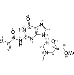 C=C(CC)C(=O)Nc1nc2c(ncn2[C@H]2CN(C)C[C@@H](COC)O2)c(=O)[nH]1